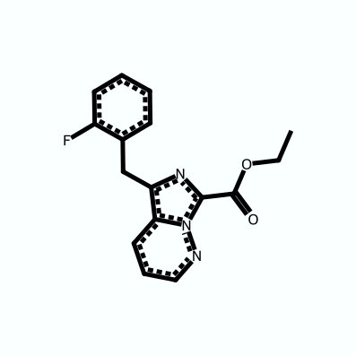 CCOC(=O)c1nc(Cc2ccccc2F)c2cccnn12